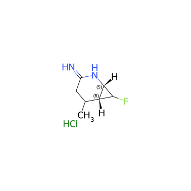 CC1CC(=N)N[C@@H]2C(F)[C@H]12.Cl